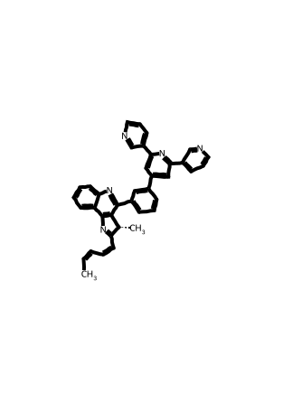 C/C=C\C=C/C1=Nc2c(c(-c3cccc(-c4cc(-c5cccnc5)nc(-c5cccnc5)c4)c3)nc3ccccc23)[C@@H]1C